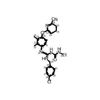 CCNC(=O)N/C(=N\c1ccc(OC2=CCCC(C#N)=N2)c(C)c1C)NCc1ccc(Cl)cc1